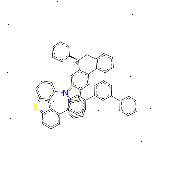 c1ccc(-c2cccc(-c3ccc(-c4cccc5sc6cccc(-n7c8ccccc8c8cc9c(cc87)[C@@H](c7ccccc7)Cc7ccccc7-9)c6c45)cc3)c2)cc1